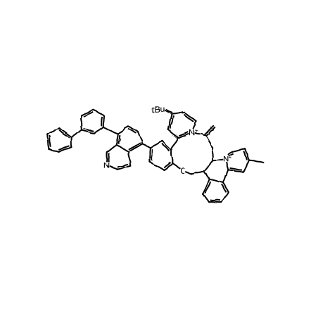 C=C1CC2C(CCc3ccc(-c4ccc(-c5cccc(-c6ccccc6)c5)c5cnccc45)cc3-c3cc(C(C)(C)C)cc[n+]31)c1ccccc1-c1cc(C)cc[n+]12